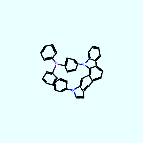 c1ccc(-n2ccc3cc4ccc5c6ccccc6n(-c6ccc(P(c7ccccc7)c7ccccc7)cc6)c5c4cc32)cc1